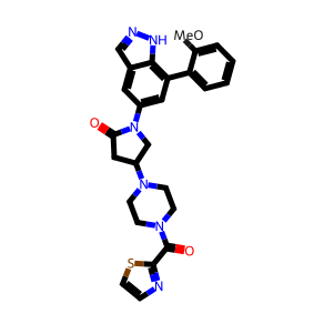 COc1ccccc1-c1cc(N2CC(N3CCN(C(=O)c4nccs4)CC3)CC2=O)cc2cn[nH]c12